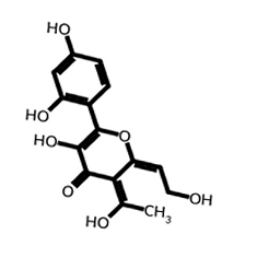 C/C(O)=c1/c(=O)c(O)c(-c2ccc(O)cc2O)o/c1=C/CO